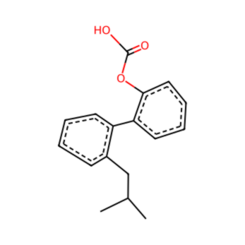 CC(C)Cc1ccccc1-c1ccccc1OC(=O)O